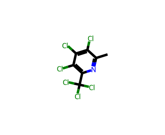 Cc1nc(C(Cl)(Cl)Cl)c(Cl)c(Cl)c1Cl